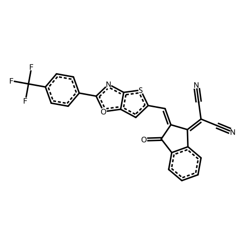 N#CC(C#N)=C1/C(=C/c2cc3oc(-c4ccc(C(F)(F)F)cc4)nc3s2)C(=O)c2ccccc21